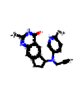 C#CCN(c1ccc(C(=O)O)nc1)C1CCc2cc3nc(C)[nH]c(=O)c3cc21